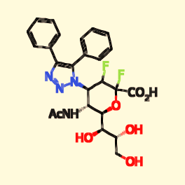 CC(=O)N[C@H]1[C@H]([C@H](O)[C@H](O)CO)OC(F)(C(=O)O)C(F)[C@@H]1n1nnc(-c2ccccc2)c1-c1ccccc1